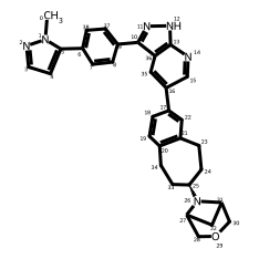 Cn1nccc1-c1ccc(-c2n[nH]c3ncc(-c4ccc5c(c4)CC[C@@H](N4C6COCC4C6)CC5)cc23)cc1